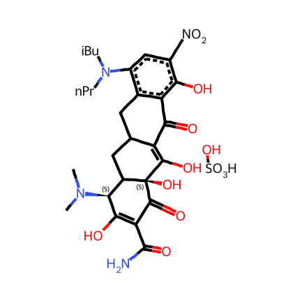 CCCN(c1cc([N+](=O)[O-])c(O)c2c1CC1CC3[C@H](N(C)C)C(O)=C(C(N)=O)C(=O)[C@@]3(O)C(O)=C1C2=O)C(C)CC.O=S(=O)(O)O